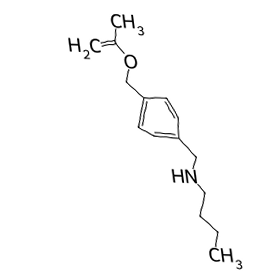 C=C(C)OCc1ccc(CNCCCC)cc1